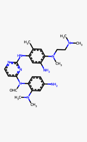 Cc1cc(N(C)CCN(C)C)c(N)cc1Nc1nccc(N(C=O)c2ccc(N)cc2N(C)C)n1